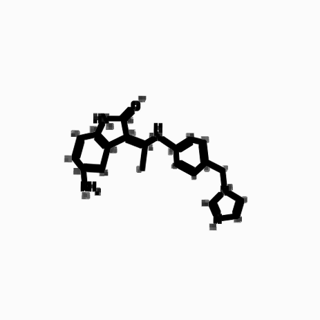 C/C(Nc1ccc(Cn2ccnc2)cc1)=C1/C(=O)Nc2ccc(N)cc21